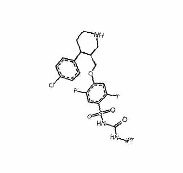 CC(C)NC(=O)NS(=O)(=O)c1cc(F)c(OC[C@@H]2CNCCC2c2ccc(Cl)cc2)cc1F